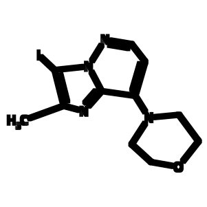 Cc1nc2c(N3CCOCC3)ccnn2c1I